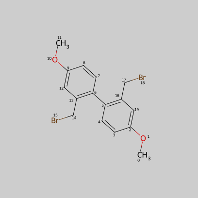 COc1ccc(-c2ccc(OC)cc2CBr)c(CBr)c1